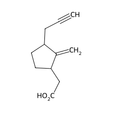 C#CCC1CCC(CC(=O)O)C1=C